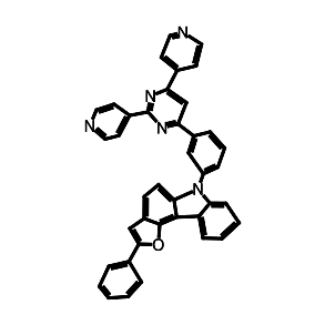 c1ccc(-c2cc3ccc4c(c5ccccc5n4-c4cccc(-c5cc(-c6ccncc6)nc(-c6ccncc6)n5)c4)c3o2)cc1